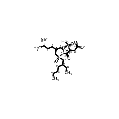 CCCCC(CC)CP(=O)(CC(CC)CCCC)OC(=O)C(CC(=O)[O-])S(=O)(=O)O.[Na+]